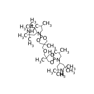 CC(C)CN(C1CC(C)(C)NC(C)(C)C1)P1OCC(C)(COCC2(C)COP(N(CC(C)C)C3CC(C)(C)NC(C)(C)C3)OC2)CO1